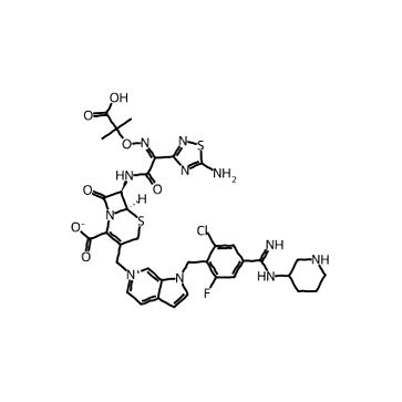 CC(C)(O/N=C(\C(=O)N[C@@H]1C(=O)N2C(C(=O)[O-])=C(C[n+]3ccc4ccn(Cc5c(F)cc(C(=N)NC6CCCNC6)cc5Cl)c4c3)CS[C@H]12)c1nsc(N)n1)C(=O)O